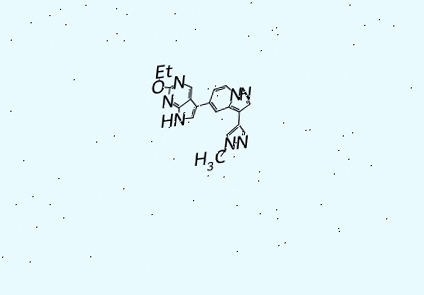 CCOc1ncc2c(-c3ccn4ncc(-c5cnn(C)c5)c4c3)c[nH]c2n1